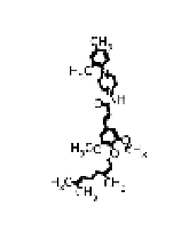 COc1cc(C=CC(=O)NN2CCN(c3ccc(C)cc3C)CC2)cc(OC)c1OCC=C(C)CCC=C(C)C